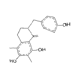 C=C1c2c(O)c(C)c(O)c(C)c2CCC1Cc1ccc(O)cc1